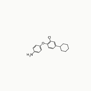 Nc1ccc(Oc2ccc(C3CCCCC3)cc2Cl)cc1